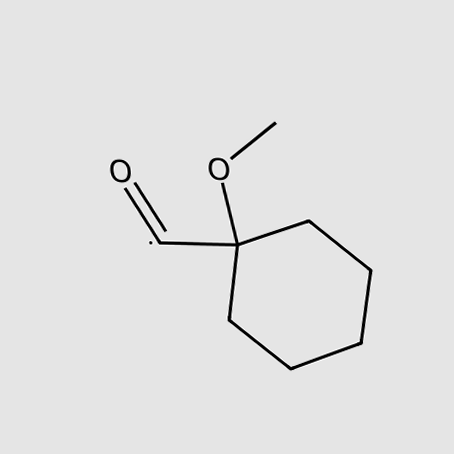 COC1([C]=O)CCCCC1